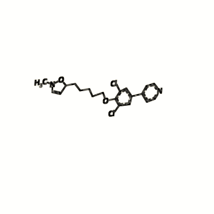 CN1C=CC(CCCCCOc2c(Cl)cc(-c3ccncc3)cc2Cl)O1